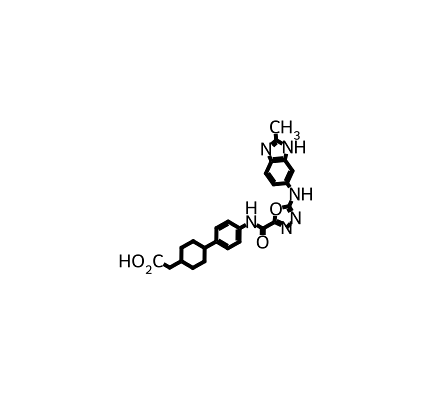 Cc1nc2ccc(Nc3nnc(C(=O)Nc4ccc(C5CCC(CC(=O)O)CC5)cc4)o3)cc2[nH]1